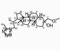 COC[C@@]1(O)CC[C@H]2[C@@H](CC[C@@H]3[C@@H]2CC[C@]2(C)C([C@H](C)Cn4nnnc4C)CC[C@@H]32)C1